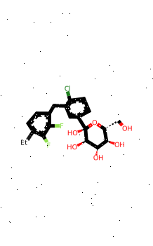 CCc1ccc(Cc2cc([C@]3(O)O[C@H](CO)[C@@H](O)[C@H](O)[C@H]3O)ccc2Cl)c(F)c1F